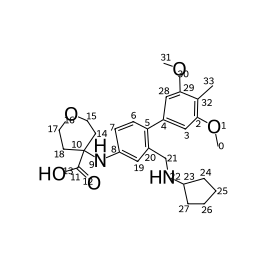 COc1cc(-c2ccc(NC3(C(=O)O)CCOCC3)cc2CNC2CCCC2)cc(OC)c1C